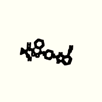 N#Cc1cccc2sc(N3CCN(C(=O)[C@@H]4CCCC[C@H]4C(=O)NC4(C#N)CC4)CC3)nc12